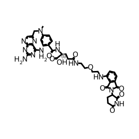 CN(Cc1cnc2nc(N)nc(N)c2n1)c1ccc(C(=O)N[C@@H](CCC(=O)NCCOCCNc2cccc3c2C(=O)N(C2CCC(=O)NC2=O)C3=O)C(=O)O)cc1